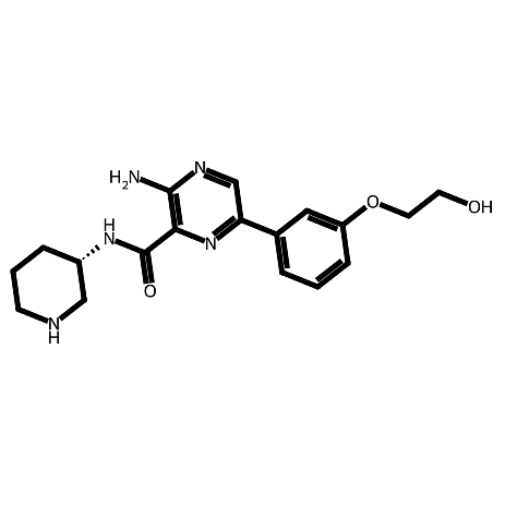 Nc1ncc(-c2cccc(OCCO)c2)nc1C(=O)N[C@H]1CCCNC1